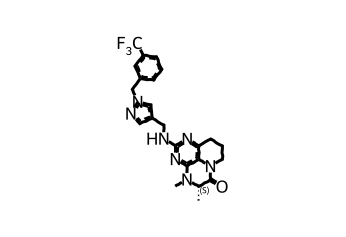 C[C@H]1C(=O)N2CCCc3nc(NCc4cnn(Cc5cccc(C(F)(F)F)c5)c4)nc(c32)N1C